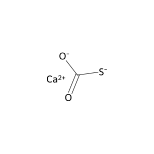 O=C([O-])[S-].[Ca+2]